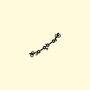 C=CC(=O)OCCSc1ccc(C#Cc2ccc(-c3ccc(C#Cc4ccc(SCCOC(=O)C=C)cc4)cc3C(C)C)c(C)c2)cc1